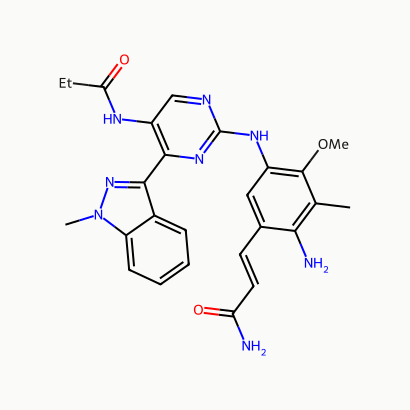 CCC(=O)Nc1cnc(Nc2cc(C=CC(N)=O)c(N)c(C)c2OC)nc1-c1nn(C)c2ccccc12